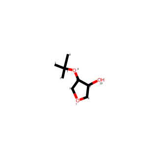 CC(C)(C)OC1COCC1O